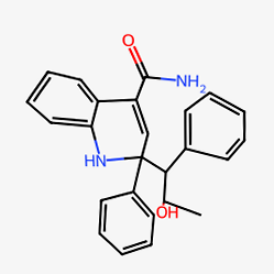 CC(O)C(c1ccccc1)C1(c2ccccc2)C=C(C(N)=O)c2ccccc2N1